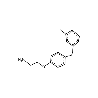 Cc1cccc(Oc2ccc(OCCN)cc2)c1